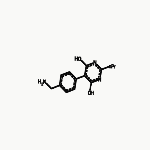 CCCc1nc(O)c(-c2ccc(CN)cc2)c(O)n1